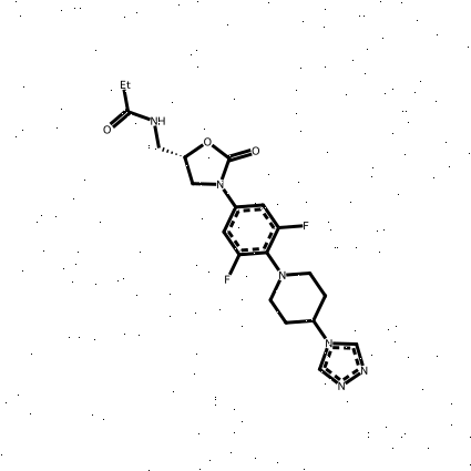 CCC(=O)NC[C@H]1CN(c2cc(F)c(N3CCC(n4cnnc4)CC3)c(F)c2)C(=O)O1